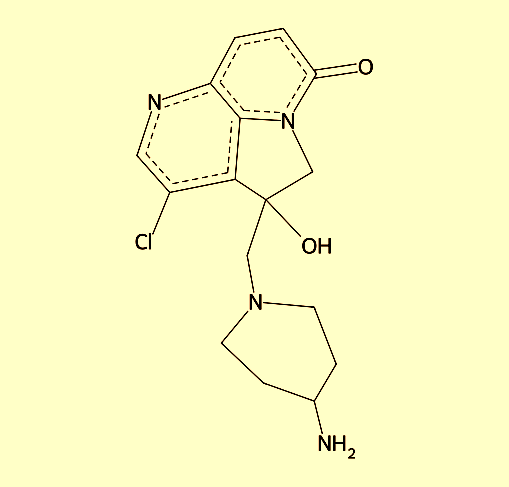 NC1CCN(CC2(O)Cn3c(=O)ccc4ncc(Cl)c2c43)CC1